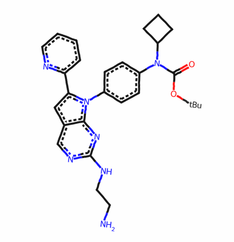 CC(C)(C)OC(=O)N(c1ccc(-n2c(-c3ccccn3)cc3cnc(NCCN)nc32)cc1)C1CCC1